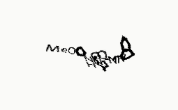 C=C1C[C@@H](C(=O)NCc2cccc3ccccc23)N(C(=O)Nc2cccc(OC)c2)C1